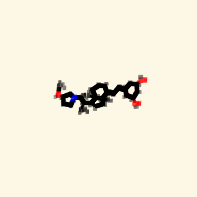 C[C@H](CN1CC[C@H](OC(F)(F)F)C1)[C@H]1CC[C@H]2/C(=C/C=C3C[C@@H](O)C[C@H](O)C3)CCC[C@]12C